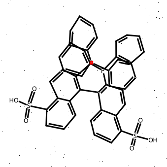 O=S(=O)(O)c1cccc2c(-c3c(P(c4ccccc4)c4ccccc4)ccc4c(S(=O)(=O)O)cccc34)c(P(c3ccccc3)c3ccccc3)ccc12